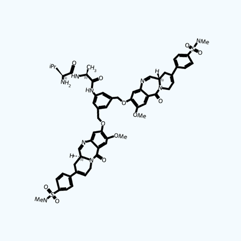 CNS(=O)(=O)c1ccc(C2=CCN3C(=O)c4cc(OC)c(OCc5cc(COc6cc7c(cc6OC)C(=O)N6CC=C(c8ccc(S(=O)(=O)NC)cc8)C[C@H]6C=N7)cc(NC(=O)[C@H](C)NC(=O)[C@@H](N)C(C)C)c5)cc4N=C[C@@H]3C2)cc1